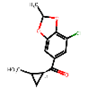 CC1Oc2cc(C(=O)[C@H]3CC3C(=O)O)cc(Cl)c2O1